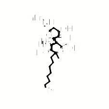 CCCNC[C@@H]1C[C@H](O)[C@@H](O)[C@@](O)([C@]2(C)[C@H](O)[C@@H](O)C(C)(CCCCCCCC(C)C)O[C@@H]2CO)O1